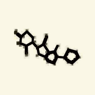 Cc1c(-c2ccccc2)ccc2c1C(=O)N(C1CCC(=O)NC1=O)C2